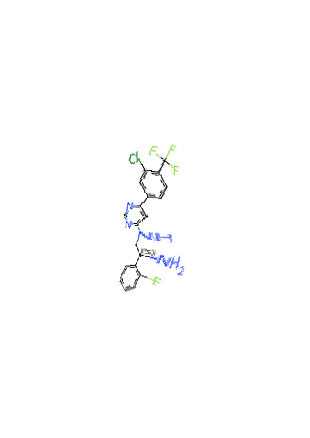 N[C@H](CNc1cc(-c2ccc(C(F)(F)F)c(Cl)c2)ncn1)c1ccccc1F